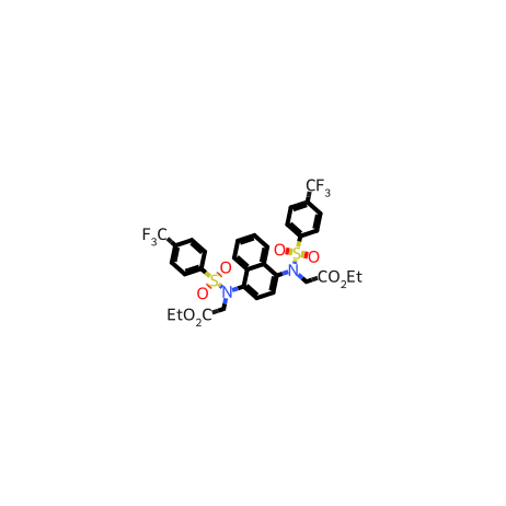 CCOC(=O)CN(c1ccc(N(CC(=O)OCC)S(=O)(=O)c2ccc(C(F)(F)F)cc2)c2ccccc12)S(=O)(=O)c1ccc(C(F)(F)F)cc1